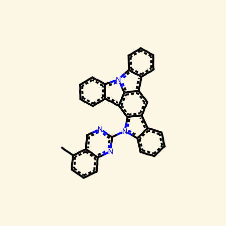 Cc1cccc2nc(-n3c4ccccc4c4cc5c6ccccc6n6c7ccccc7c(c43)c56)ncc12